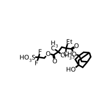 CCC(C)(CC(C)(C)C(=O)OCC(F)(F)S(=O)(=O)O)C(=O)OC12CC3CC(CC(O)(C3)C1)C2